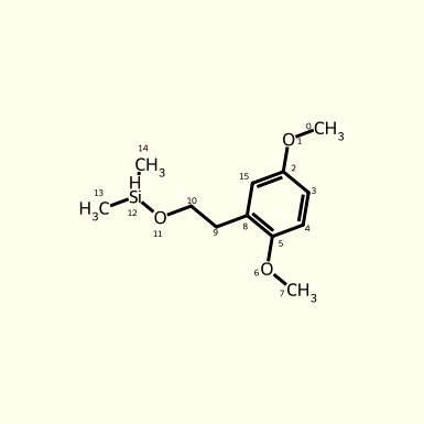 COc1ccc(OC)c(CCO[SiH](C)C)c1